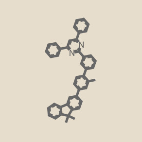 Cc1cc(-c2ccc3c(c2)-c2ccccc2C3(C)C)ccc1-c1cccc(-c2nc(-c3ccccc3)cc(-c3ccccc3)n2)c1